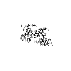 CC(=O)N[C@@H](C)C(=O)N[C@@H](CCC(N)=O)C(=O)N[C@@H](CC(N)=O)C(=O)C(Cl)C(=O)C(Cl)C(=O)[C@H](CC(N)=O)NC(=O)[C@H](CCC(N)=O)NC(=O)[C@H](C)NC(C)=O